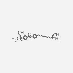 CCC[C@@H](C)Oc1ccc(C(=O)Oc2ccc(CCCCCCCC[C@@H](C)CC)cc2)cc1